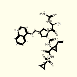 C=CC1C[C@]1(NC(=O)[C@@H]1C[C@@H](COc2ccnc3ccccc23)CN1C(=O)[C@@H](NC(=O)OC)C(C)(C)C)C(=O)NS(=O)(=O)C1CC1